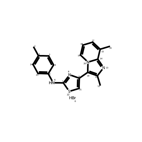 Br.Cc1ccc(Nc2nc(-c3c(C)nc4c(C)cccn34)cs2)cc1